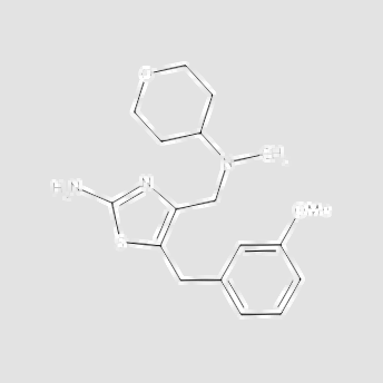 COc1cccc(Cc2sc(N)nc2CN(C)C2CCOCC2)c1